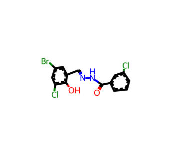 O=C(NN=Cc1cc(Br)cc(Cl)c1O)c1cccc(Cl)c1